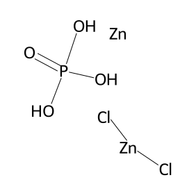 O=P(O)(O)O.[Cl][Zn][Cl].[Zn]